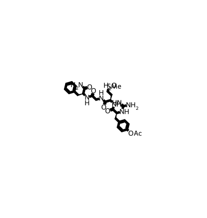 CSCC[C@@H](NC(=O)[C@H](Cc1ccc(OC(C)=O)cc1)NC(=N)N)C(=O)NCC(=O)N[C@@H](Cc1ccccc1)C(N)=O.O